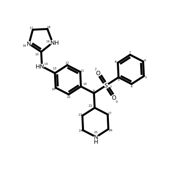 O=S(=O)(c1ccccc1)C(c1ccc(NC2=NCCN2)cc1)C1CCNCC1